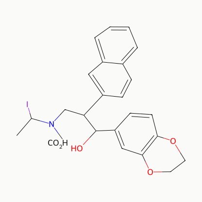 CC(I)N(CC(c1ccc2ccccc2c1)C(O)c1ccc2c(c1)OCCO2)C(=O)O